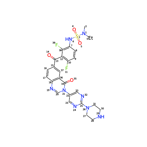 CCN(C)S(=O)(=O)Nc1ccc(F)c(C(=O)c2ccc3ncn(-c4cnc(N5CCNCC5)nc4)c(=O)c3c2)c1F